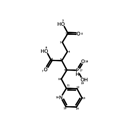 O=C(O)CCC(C(=O)O)C(Cc1ccccn1)[PH](=O)O